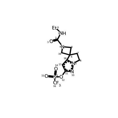 CCNC(=O)N1CC2(CCn3nc(OS(=O)(=O)C(F)(F)F)cc32)C1